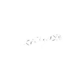 CS(=O)(=O)Nc1ccc(OC[C@H](O)CN2CCN(c3ccc(Cl)c(Cl)c3)CC2)cc1